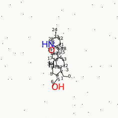 CC[C@@]1(C)C(CCO)CC[C@@H]2C1CC[C@@]1(C)C2CC2O[C@@]3(CC[C@H](C)CN3)[C@@H](C)C21